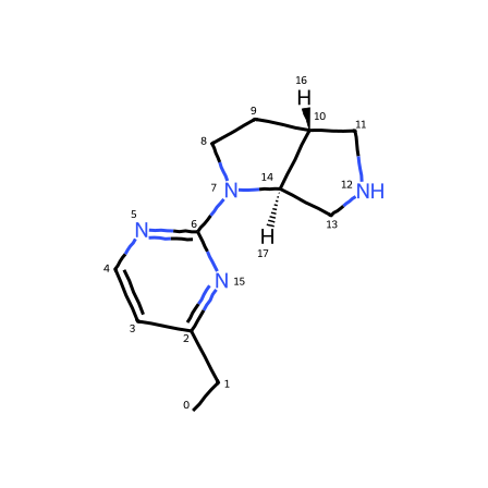 CCc1ccnc(N2CC[C@@H]3CNC[C@H]32)n1